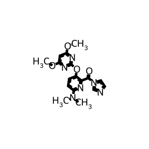 COc1cc(OC)nc(Oc2ccc(N(C)C)nc2C(=O)n2ccnc2)n1